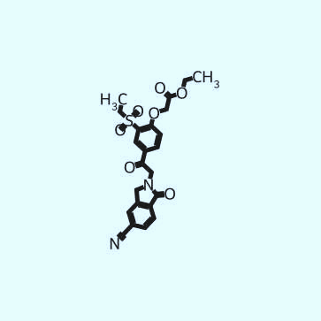 CCOC(=O)COc1ccc(C(=O)CN2Cc3cc(C#N)ccc3C2=O)cc1S(=O)(=O)CC